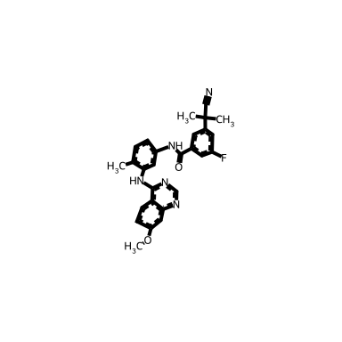 COc1ccc2c(Nc3cc(NC(=O)c4cc(F)cc(C(C)(C)C#N)c4)ccc3C)ncnc2c1